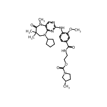 COc1cc(C(=O)NCCOC(=O)N2CC[C@@H](C)C2)ccc1Nc1ncc2c(n1)N(C1CCCC1)CC(C)(C)C(=O)N2C